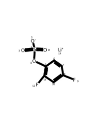 O=S(=O)([O-])Oc1ccc(F)cc1F.[Li+]